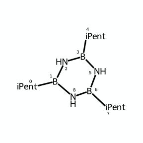 CCCC(C)B1NB(C(C)CCC)NB(C(C)CCC)N1